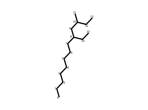 CCCCCCCCC([CH]C(C)CC)CC